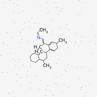 C/C=N\C=C(/C)C1=CC(C)CC=C1C(C)CC(C)C1CCCCC1